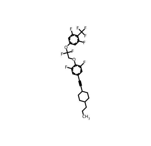 CCCC1CCC(C#Cc2cc(F)c(OCC(F)(F)Oc3cc(F)c(C(F)(F)F)c(F)c3)c(F)c2)CC1